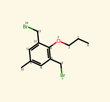 CCCOc1c(CBr)cc(C)cc1CBr